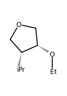 CCO[C@H]1COC[C@H]1C(C)C